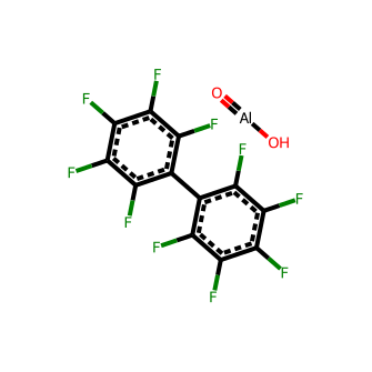 Fc1c(F)c(F)c(-c2c(F)c(F)c(F)c(F)c2F)c(F)c1F.[O]=[Al][OH]